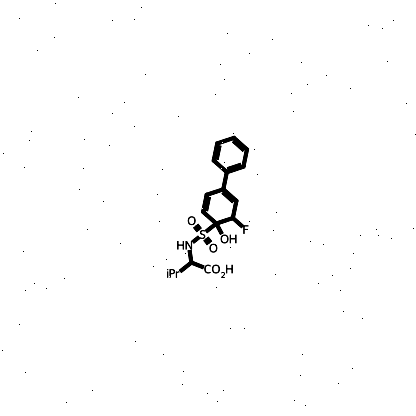 CC(C)C(NS(=O)(=O)C1(O)C=CC(c2ccccc2)=CC1F)C(=O)O